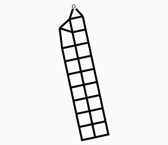 C1C2CC3C4C5C6C7C8C9C%10C%11%12OC%11C%11C%13C%14C%15C%16C%17C%18C1C23C%184C%175C%166C%157C%148C%139C%11%10%12